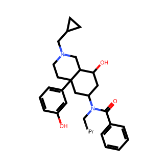 CC(C)CN(C(=O)c1ccccc1)C1CC(O)C2CN(CC3CC3)CCC2(c2cccc(O)c2)C1